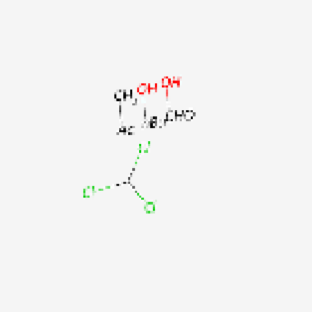 CC(C)=O.CCCCO.ClC(Cl)Cl.O=CO